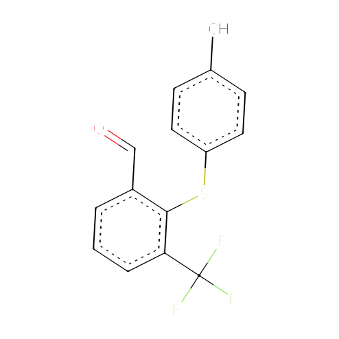 Cc1ccc(Sc2c(C=O)cccc2C(F)(F)F)cc1